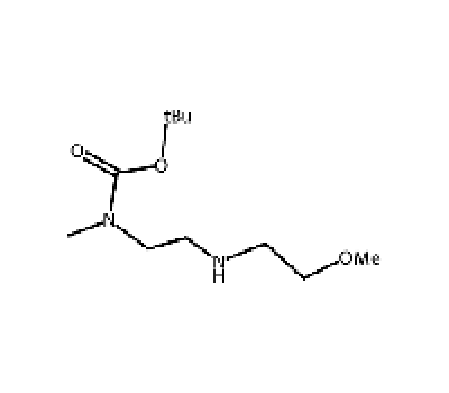 COCCNCCN(C)C(=O)OC(C)(C)C